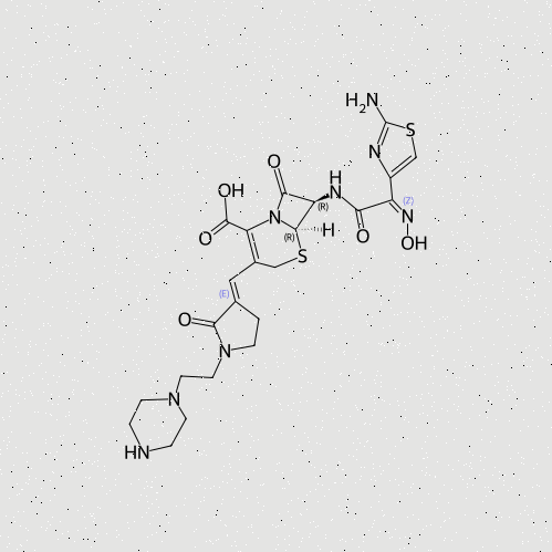 Nc1nc(/C(=N/O)C(=O)N[C@@H]2C(=O)N3C(C(=O)O)=C(/C=C4\CCN(CCN5CCNCC5)C4=O)CS[C@H]23)cs1